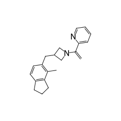 C=C(c1ccccn1)N1CC(Cc2ccc3c(c2C)CCC3)C1